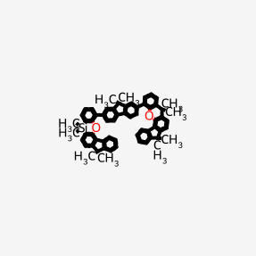 CC1(C)c2cc(-c3cccc4c3Oc3c(ccc5c3-c3ccccc3C5(C)C)C4(C)C)ccc2-c2ccc(-c3cccc4c3Oc3c(ccc5c3-c3ccccc3C5(C)C)[Si]4(C)C)cc21